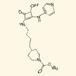 CC(C)(C)OC(=O)N1CCC(CCCCNC2=C(Nc3ccncc3)C(O)C2=O)CC1